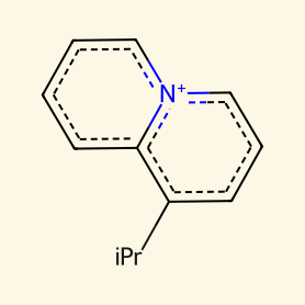 CC(C)c1ccc[n+]2ccccc12